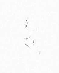 CCc1[c]cc(C)c(C(C)N=[N+]=[N-])c1